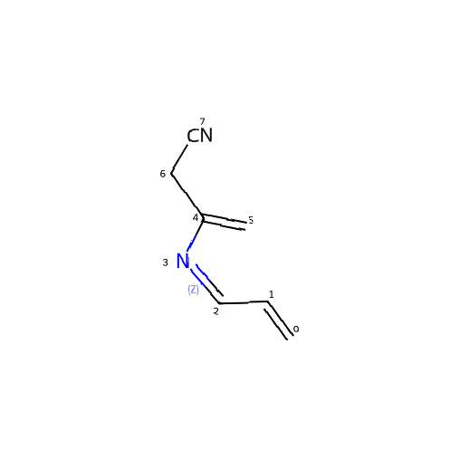 C=C/C=N\C(=C)CC#N